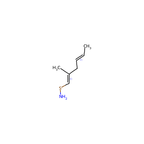 C/C=C/C/C(C)=C/SN